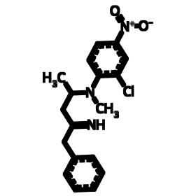 CC(CC(=N)Cc1ccccc1)N(C)c1ccc([N+](=O)[O-])cc1Cl